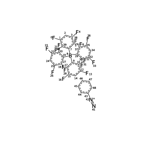 Fc1cc(F)c(F)c([B-](c2c(F)c(F)cc(F)c2F)(c2c(F)c(F)cc(F)c2F)c2c(F)c(F)cc(F)c2F)c1F.N#[N+]c1ccccc1